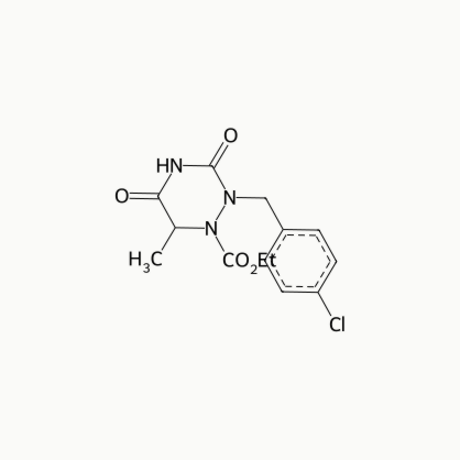 CCOC(=O)N1C(C)C(=O)NC(=O)N1Cc1ccc(Cl)cc1